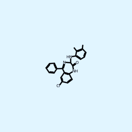 Cc1cccc(NC2N=C(c3ccccc3)c3cc(Cl)ccc3NC2=O)c1C